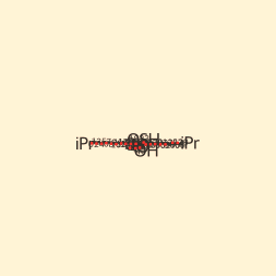 CC(C)CCCCCCCCCCCCCCCOC(=O)CCCC(S)CCCCCCCCCCCCCCCC(C)C.CCCCC(=O)O